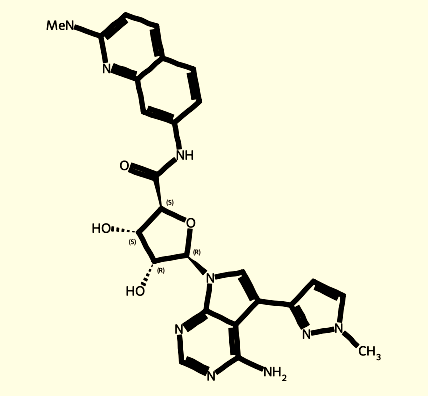 CNc1ccc2ccc(NC(=O)[C@H]3O[C@@H](n4cc(-c5ccn(C)n5)c5c(N)ncnc54)[C@H](O)[C@@H]3O)cc2n1